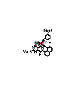 CSc1ncc2c(NCCc3cccc(S(=O)O)c3)nc(-c3cccc4ccc(F)c(C#C[Si](C(C)C)(C(C)C)C(C)C)c34)c(F)c2n1